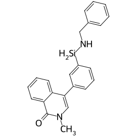 Cn1cc(-c2cccc([SiH2]NCc3ccccc3)c2)c2ccccc2c1=O